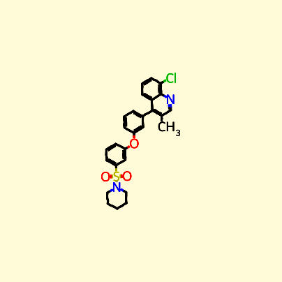 Cc1cnc2c(Cl)cccc2c1-c1cccc(Oc2cccc(S(=O)(=O)N3CCCCC3)c2)c1